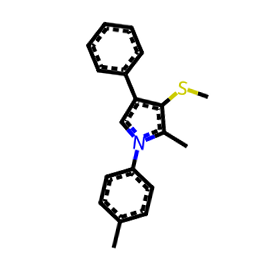 CSc1c(-c2ccccc2)cn(-c2ccc(C)cc2)c1C